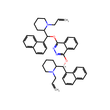 C=CCN1CCCCC1C(Oc1nnc(O[C@H](c2cccc3ccccc23)C2CCCCN2CC=C)c2ccccc12)c1cccc2ccccc12